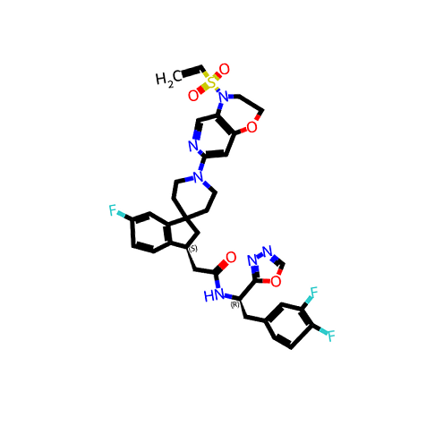 C=CS(=O)(=O)N1CCOc2cc(N3CCC4(CC3)C[C@@H](CC(=O)N[C@H](Cc3ccc(F)c(F)c3)c3nnco3)c3ccc(F)cc34)ncc21